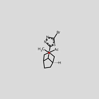 CC(=O)N(C)C1C2CC[C@@H]1CN(c1nnc(Br)s1)C2